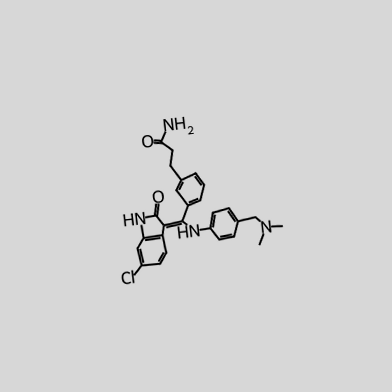 CN(C)Cc1ccc(NC(=C2C(=O)Nc3cc(Cl)ccc32)c2cccc(CCC(N)=O)c2)cc1